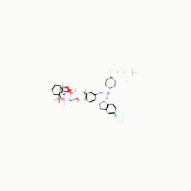 COc1cc(CN(C[C@H]2CC[C@H](C(=O)O)CC2)[C@H]2CCc3cc(Cl)ccc32)ccc1OCCN1C(=O)[C@H]2CC=CC[C@H]2C1=O